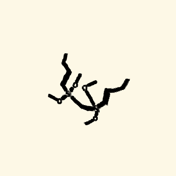 CCC=C[Si](C[Si](C=CCC)(OC)OC)(OC)OC